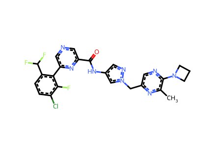 Cc1nc(Cn2cc(NC(=O)c3cncc(-c4c(C(F)F)ccc(Cl)c4F)n3)cn2)cnc1N1CCC1